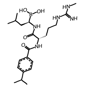 CNC(=N)NCCC[C@H](NC(=O)c1ccc(C(C)C)cc1)C(=O)N[C@@H](CC(C)C)B(O)O